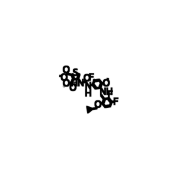 COC(=O)c1scc(NC(=O)Nc2cc(NCc3c(OCC4CC4)ccc(F)c3F)c(OC)cc2F)c1C(=O)OC